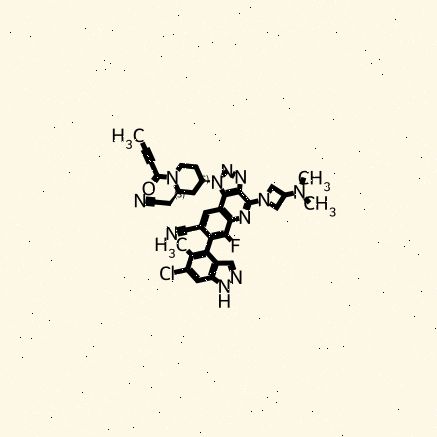 CC#CC(=O)N1CC[C@H](n2nnc3c(N4CC(N(C)C)C4)nc4c(F)c(-c5c(C)c(Cl)cc6[nH]ncc56)c(C#N)cc4c32)C[C@H]1CC#N